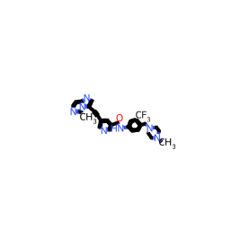 Cc1nccc2ncc(C#Cc3cncc(C(=O)Nc4ccc(CN5CCN(C)CC5)c(C(F)(F)F)c4)c3)n12